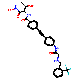 C[C@@H](O)[C@H](NC(=O)c1ccc(C#Cc2ccc(NC(=O)CNCc3ccccc3C(F)(F)F)cc2)cc1)C(=O)NO